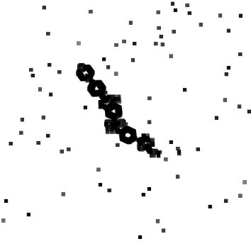 CC(C)c1nnc([C@H]2CC[C@H](NS(=O)(=O)c3ccc4[nH]c(-c5ccc(N6CCOCC6)cc5)nc4c3)CC2)o1